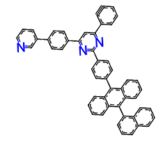 c1cccc(-c2cc(-c3ccc(-c4cccnc4)cc3)nc(-c3ccc(-c4c5ccccc5c(-c5cccc6ccccc56)c5ccccc45)cc3)n2)c#1